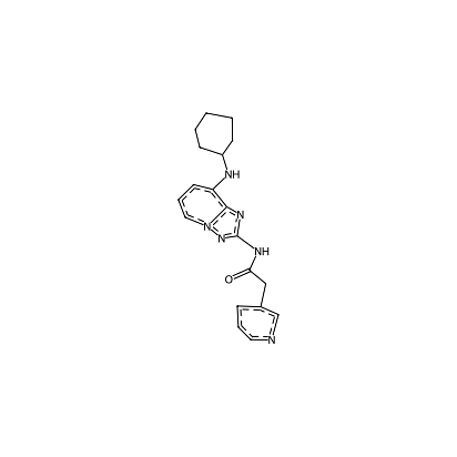 O=C(Cc1cccnc1)Nc1nc2c(NC3CCCCC3)cccn2n1